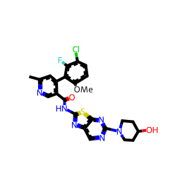 COc1ccc(Cl)c(F)c1-c1cc(C)ncc1C(=O)Nc1nc2cnc(N3CCC(O)CC3)nc2s1